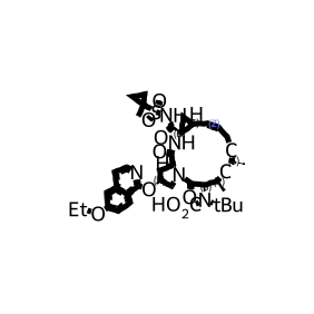 CCOc1ccc2c(O[C@@H]3C[C@H]4C(=O)N[C@]5(C(=O)NS(=O)(=O)C6(C)CC6)C[C@H]5/C=C\CC[C@H](C)C[C@@H](C)[C@H](N(C(=O)O)C(C)(C)C)C(=O)N4C3)nccc2c1